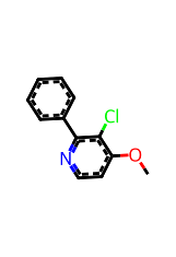 COc1ccnc(-c2ccccc2)c1Cl